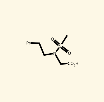 CC(C)CCN(CC(=O)O)S(C)(=O)=O